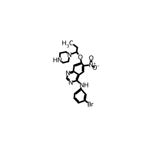 CCC(Oc1cc2ncnc(Nc3cccc(Br)c3)c2cc1[N+](=O)[O-])N1CCNCC1